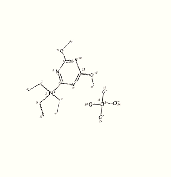 CC[N+](CC)(CC)c1nc(OC)nc(OC)n1.[O-][Cl+3]([O-])([O-])[O-]